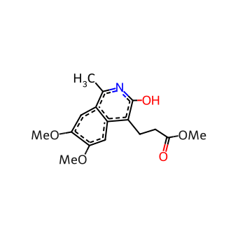 COC(=O)CCc1c(O)nc(C)c2cc(OC)c(OC)cc12